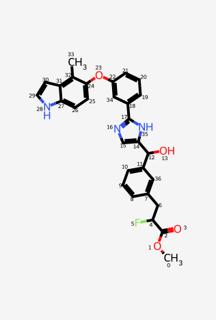 COC(=O)C(F)Cc1cccc(C(O)c2cnc(-c3cccc(Oc4ccc5[nH]ccc5c4C)c3)[nH]2)c1